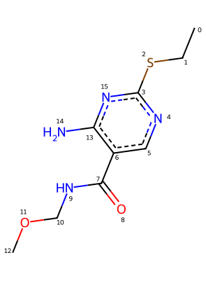 CCSc1ncc(C(=O)NCOC)c(N)n1